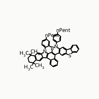 CCCCCc1ccc(N2B3c4cc(CCCCC)ccc4-n4c5cc6c(cc5c5c7ccccc7c(c3c54)-c3cc4sc5ccccc5c4cc32)C(C)(C)CCC6(C)C)cc1